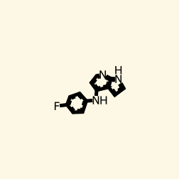 Fc1ccc(Nc2ccnc3[nH]ccc23)cc1